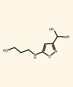 CCCC(CCC)c1cc(NCCCO)on1